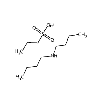 CCCCNCCCC.CCCS(=O)(=O)O